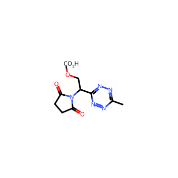 Cc1nnc(C(COC(=O)O)N2C(=O)CCC2=O)nn1